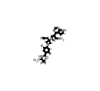 CC(NC(=O)c1cc(F)c(N2CC(CC#N)(n3cc(-c4ncnc5[nH]ccc45)c(N)n3)C2)cc1F)C(F)(F)F